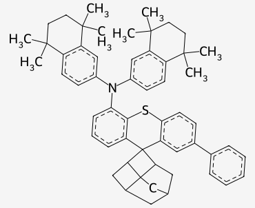 CC1(C)CCC(C)(C)c2cc(N(c3ccc4c(c3)C(C)(C)CCC4(C)C)c3cccc4c3Sc3ccc(-c5ccccc5)cc3C43C4CC5CC6CC3C64C5)ccc21